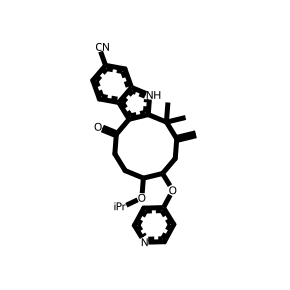 C=C1CC(Oc2ccncc2)C(OC(C)C)CCC(=O)c2c([nH]c3cc(C#N)ccc23)C1(C)C